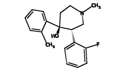 Cc1ccccc1[C@]1(O)CCN(C)C[C@@H]1c1ccccc1F